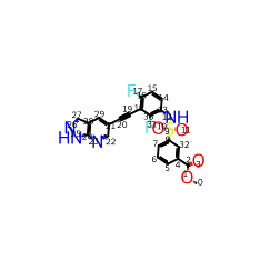 COC(=O)c1cccc(S(=O)(=O)Nc2ccc(F)c(C#Cc3cnc4[nH]ncc4c3)c2F)c1